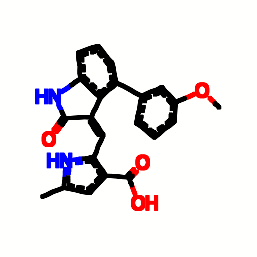 COc1cccc(-c2cccc3c2C(=Cc2[nH]c(C)cc2C(=O)O)C(=O)N3)c1